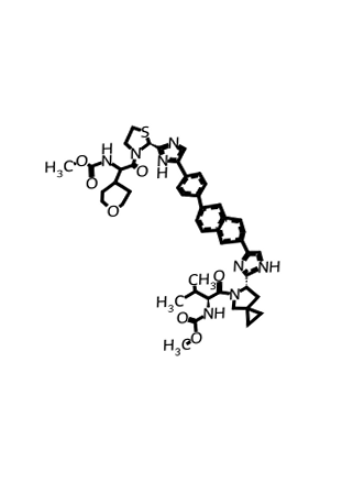 COC(=O)NC(C(=O)N1CCS[C@H]1c1ncc(-c2ccc(-c3ccc4cc(-c5c[nH]c([C@@H]6CC7(CC7)CN6C(=O)[C@@H](NC(=O)OC)C(C)C)n5)ccc4c3)cc2)[nH]1)C1CCOCC1